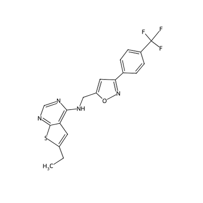 CCc1cc2c(NCc3cc(-c4ccc(C(F)(F)F)cc4)no3)ncnc2s1